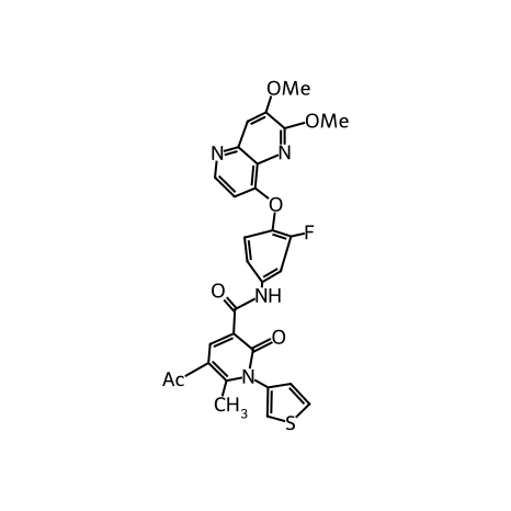 COc1cc2nccc(Oc3ccc(NC(=O)c4cc(C(C)=O)c(C)n(-c5ccsc5)c4=O)cc3F)c2nc1OC